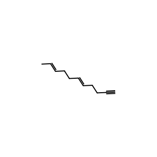 C#CCC/C=C/CC/C=C/C